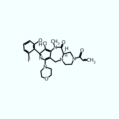 C=CC(=O)N1CCN2Cc3c(N4CCOCC4)nc(-c4c(O)cccc4F)c(Cl)c3N(C)C(=O)[C@H]2C1